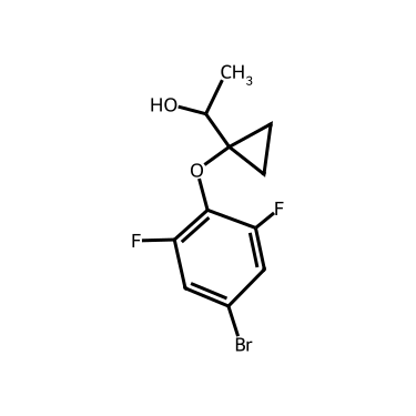 CC(O)C1(Oc2c(F)cc(Br)cc2F)CC1